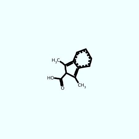 CC1=c2ccccc2=C(C)C1C(=O)O